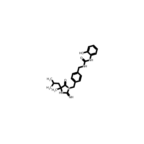 CC(C)CC1(C)NC(=N)N(Cc2ccc(CNC(=O)Nc3ccccc3O)cc2)C1=O